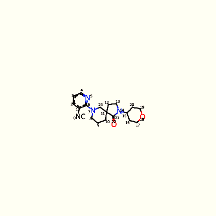 [C-]#[N+]c1cccnc1N1CCC[C@]2(CCN(C3CCOCC3)C2=O)C1